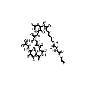 C=CCOC(=O)NCC(=O)NCCCCCC(=O)N(C)C(CC(C)C)C(=O)NCC(=O)N(C)CC(=O)N(C)CC(=O)NC(C)C(=O)N(C)C(C)C(=O)NCC(=O)O